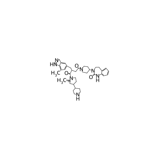 Cc1cc(CC(CC(=O)N2CCC(N3CCc4ccccc4NC3=O)CC2)C(=O)N2CCC(C3CCNCC3)C[C@H]2C)cc2cn[nH]c12